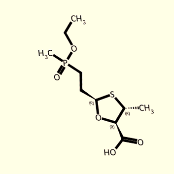 CCOP(C)(=O)CC[C@@H]1O[C@H](C(=O)O)[C@@H](C)S1